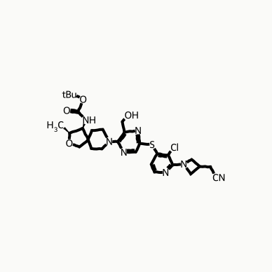 C[C@@H]1OCC2(CCN(c3ncc(Sc4ccnc(N5CC(CC#N)C5)c4Cl)nc3CO)CC2)[C@@H]1NC(=O)OC(C)(C)C